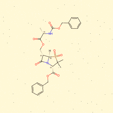 C[C@H](NC(=O)OCc1ccccc1)C(=O)OC[C@H]1C(=O)N2[C@@H](C(=O)OCc3ccccc3)C(C)(C)S(=O)(=O)[C@H]12